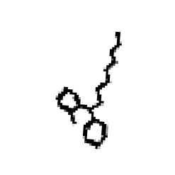 CCCCCCCCC(c1ccccc1)c1ccccc1C